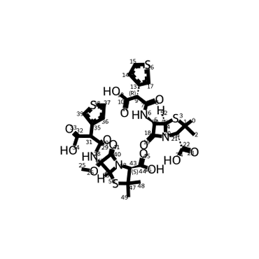 CC1(C)S[C@@H]2[C@H](NC(=O)[C@H](C(=O)O)c3ccsc3)C(=O)N2[C@H]1C(=O)O.CO[C@@]1(NC(=O)C(C(=O)O)c2ccsc2)C(=O)N2[C@@H](C(=O)O)C(C)(C)S[C@@H]21